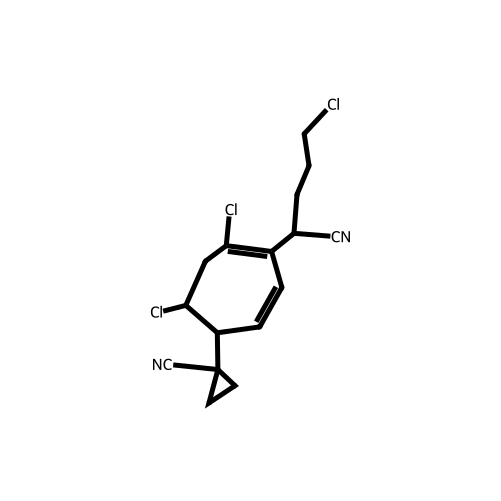 N#CC(CCCCl)C1=C(Cl)CC(Cl)C(C2(C#N)CC2)C=C1